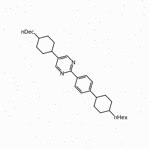 CCCCCCCCCCC1CCC(c2cnc(-c3ccc(C4CCC(CCCCCC)CC4)cc3)nc2)CC1